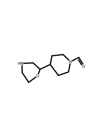 O=CN1CCC(C2CNCCO2)CC1